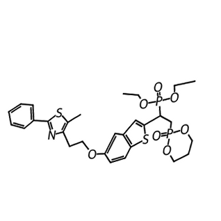 CCOP(=O)(OCC)C(CP1(=O)OCCCO1)c1cc2cc(OCCc3nc(-c4ccccc4)sc3C)ccc2s1